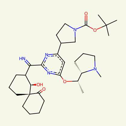 C[C@H](Oc1cc(C2CCN(C(=O)OC(C)(C)C)C2)nc(C(=N)C2CCC[C@@]3(CCCCC3=O)[C@@H]2O)n1)[C@@H]1CCCN1C